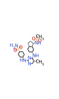 Cc1cnc(Nc2ccc(S(N)(=O)=O)cc2)nc1Nc1ccc2c(c1)C(NS(C)(=O)=O)CC2